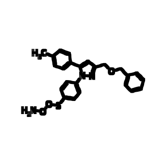 Cc1ccc(-c2cc(COCc3ccccc3)nn2-c2ccc(SOON)cc2)cc1